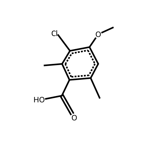 COc1cc(C)c(C(=O)O)c(C)c1Cl